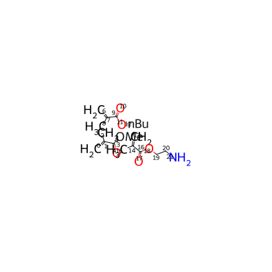 C=C(C)C(=O)OC.C=C(C)C(=O)OCCCC.C=C(C)C(=O)OCCN